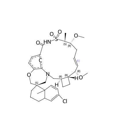 CO[C@H]1/C=C/C[C@@H](OC)[C@H](C)S(=O)(=O)NC(=O)c2ccc3c(c2)N(C[C@@H]2CC[C@H]21)C[C@@]1(CCCC2C=C(Cl)C=CC21C)CO3